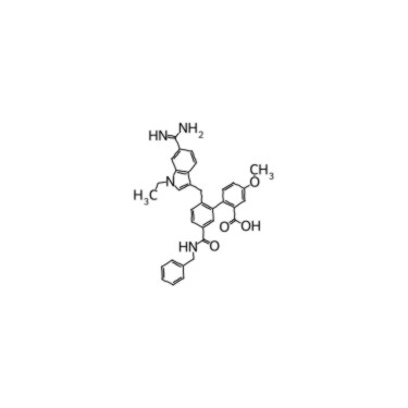 CCn1cc(Cc2ccc(C(=O)NCc3ccccc3)cc2-c2ccc(OC)cc2C(=O)O)c2ccc(C(=N)N)cc21